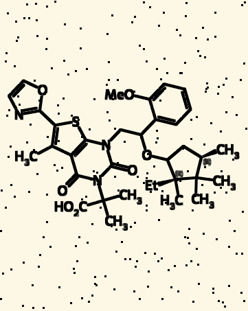 CC[C@@]1(C)C(OC(Cn2c(=O)n(C(C)(C)C(=O)O)c(=O)c3c(C)c(-c4ncco4)sc32)c2ccccc2OC)C[C@@H](C)C1(C)C